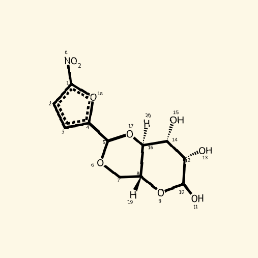 O=[N+]([O-])c1ccc(C2OC[C@H]3OC(O)[C@@H](O)[C@@H](O)[C@@H]3O2)o1